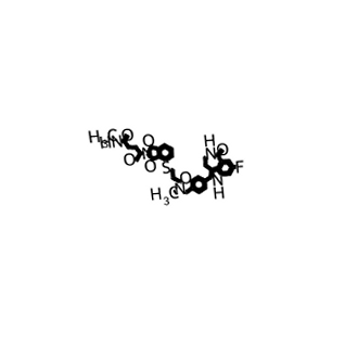 CNC(=O)CCC(C=O)N1C(=O)c2cccc(SCCC(=O)N(C)Cc3ccc(-c4[nH]c5cc(F)cc6c5c4CCNC6=O)cc3)c2C1=O